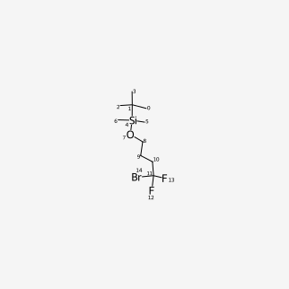 CC(C)(C)[Si](C)(C)OCCCC(F)(F)Br